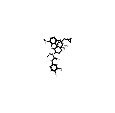 COc1ccc2c3c1OC1C(N(OC)C(=O)Cc4ccc(Cl)c(Cl)c4)CC[C@@]4(O)[C@@H](C2)N(CC2CC2)CC[C@]314